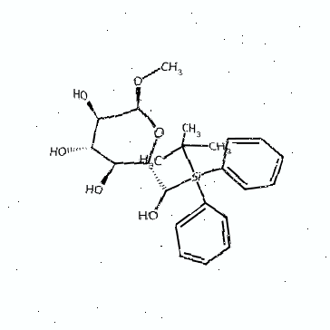 CO[C@H]1O[C@H](C(O)[Si](c2ccccc2)(c2ccccc2)C(C)(C)C)[C@@H](O)[C@H](O)[C@H]1O